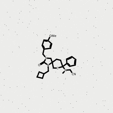 COc1ccc(CN2CC3(CCC(c4ccccc4)(N(C)CC#N)CC3)N(CC3CCC3)C2=O)cc1